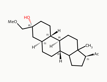 COC[C@@]1(O)CC[C@H]2[C@@H](CC[C@H]3C4CC[C@H](C(C)=O)C4(C)CC[C@H]23)C1